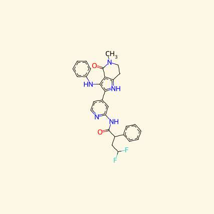 CN1CCc2[nH]c(-c3ccnc(NC(=O)C(CC(F)F)c4ccccc4)c3)c(Nc3ccccc3)c2C1=O